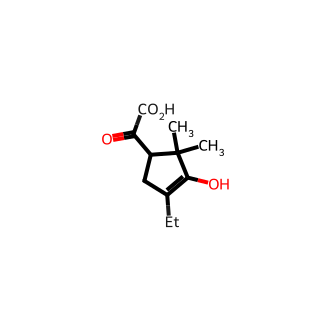 CCC1=C(O)C(C)(C)C(C(=O)C(=O)O)C1